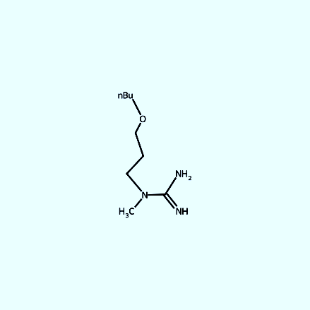 CCCCOCCCN(C)C(=N)N